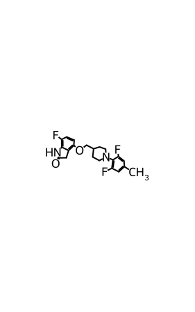 Cc1cc(F)c(N2CCC(COc3ccc(F)c4c3CC(=O)N4)CC2)c(F)c1